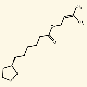 CC(C)=CCOC(=O)CCCCC[C@@H]1CCSS1